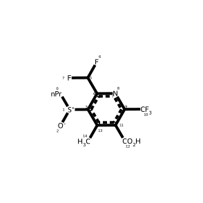 CCC[S+]([O-])c1c(C(F)F)nc(C(F)(F)F)c(C(=O)O)c1C